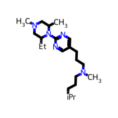 CCC1CN(C)CC(C)N1c1ncc(CCCN(C)CCCC(C)C)cn1